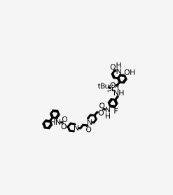 CC(C)(C)[Si](C)(C)O[C@@H](CNCc1ccc(NC(=O)OCC2CCN(C(=O)CCN3CCC(OC(=O)Nc4ccccc4-c4ccccc4)CC3)CC2)c(F)c1)c1ccc(O)c2[nH]c(=O)ccc12